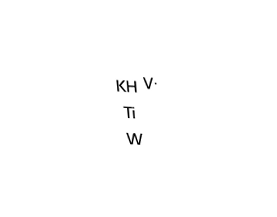 [KH].[Ti].[V].[W]